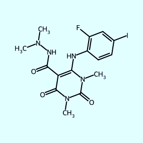 CN(C)NC(=O)c1c(Nc2ccc(I)cc2F)n(C)c(=O)n(C)c1=O